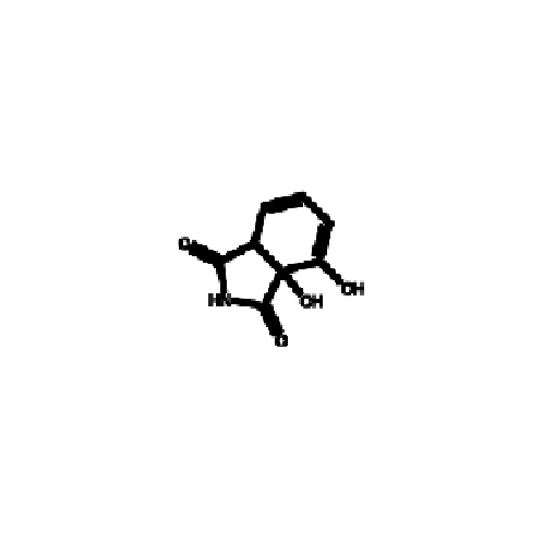 O=C1NC(=O)C2(O)C(O)=CC=CC12